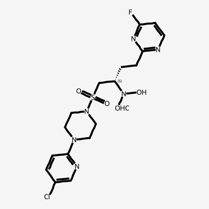 O=CN(O)[C@@H](CCc1nccc(F)n1)CS(=O)(=O)N1CCN(c2ccc(Cl)cn2)CC1